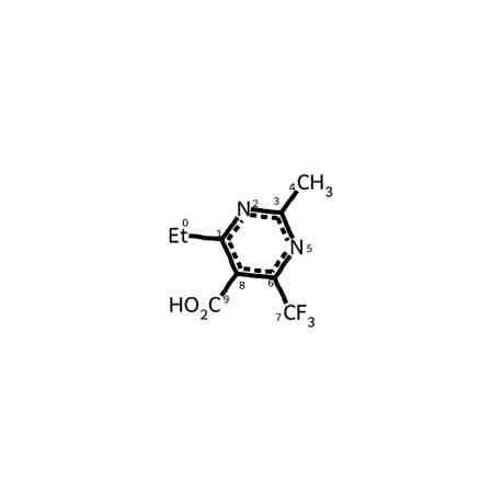 CCc1nc(C)nc(C(F)(F)F)c1C(=O)O